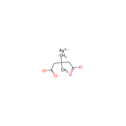 CC(C)(CC(=O)[O-])CC(=O)[O-].[Ag+2]